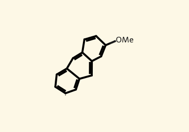 COc1ccc2cc3cc[c]cc3cc2c1